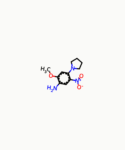 COc1cc(N2CCCC2)c([N+](=O)[O-])cc1N